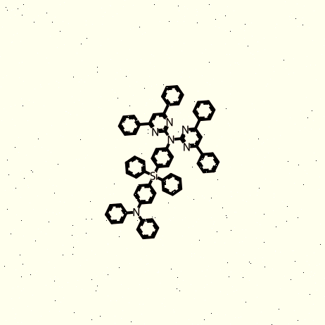 c1ccc(-c2cc(-c3ccccc3)nc(N(c3ccc([Si](c4ccccc4)(c4ccccc4)c4ccc(N(c5ccccc5)c5ccccc5)cc4)cc3)c3nc(-c4ccccc4)cc(-c4ccccc4)n3)n2)cc1